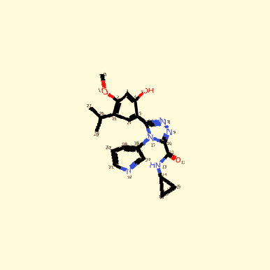 COc1cc(O)c(-c2nnc(C(=O)NC3CC3)n2-c2cccnc2)cc1C(C)C